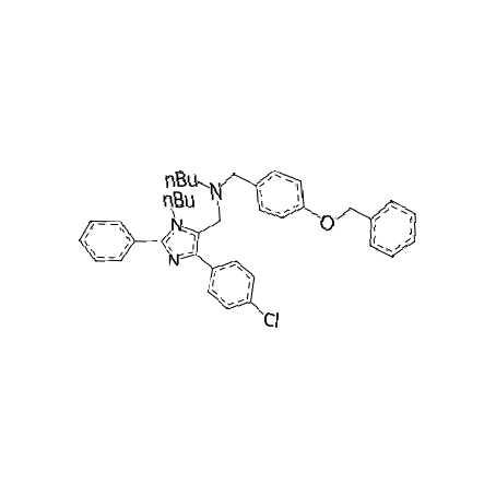 CCCCN(Cc1ccc(OCc2ccccc2)cc1)Cc1c(-c2ccc(Cl)cc2)nc(-c2ccccc2)n1CCCC